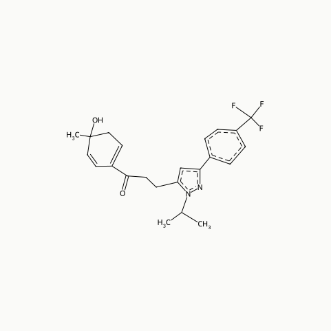 CC(C)n1nc(-c2ccc(C(F)(F)F)cc2)cc1CCC(=O)C1=CCC(C)(O)C=C1